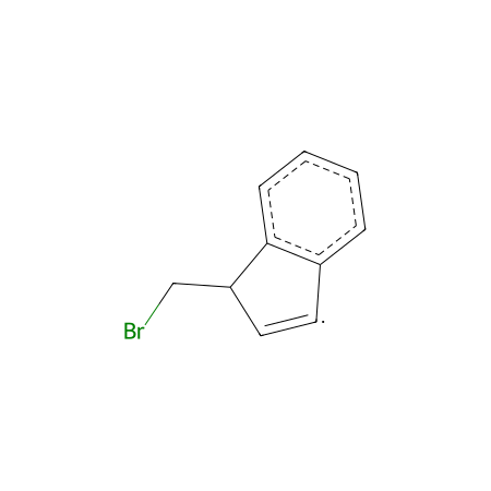 BrCC1C=[C]c2ccccc21